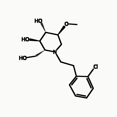 CO[C@H]1CN(CCc2ccccc2Cl)[C@H](CO)[C@@H](O)[C@@H]1O